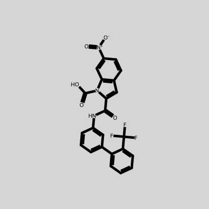 O=C(Nc1cccc(-c2ccccc2C(F)(F)F)c1)c1cc2ccc([N+](=O)[O-])cc2n1C(=O)O